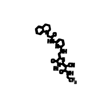 CCn1c(=C(C#N)C(=O)NCC(F)(F)F)sc(=CNc2cccc(NC(=O)CN3CCCc4ccccc43)n2)c1=O